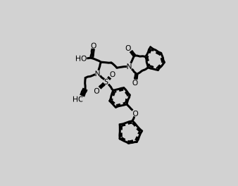 C#CCN(C(CCN1C(=O)c2ccccc2C1=O)C(=O)O)S(=O)(=O)c1ccc(Oc2ccccc2)cc1